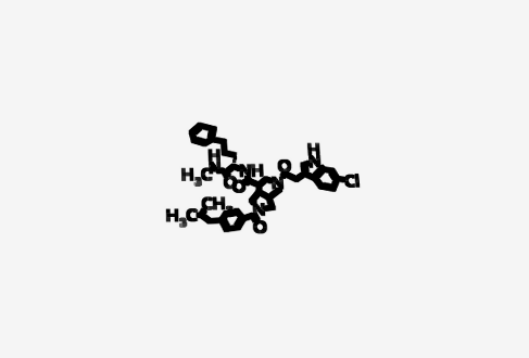 CNC(=O)[C@H](CCCc1ccccc1)NC(=O)C1CN(C(=O)Cc2c[nH]c3cc(Cl)ccc23)CC2CN(C(=O)c3ccc(CC(C)C)cc3)CC21